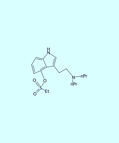 CCCN(CCC)CCc1c[nH]c2cccc(OS(=O)(=O)CC)c12